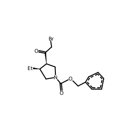 CC[C@@H]1CN(C(=O)OCc2ccccc2)C[C@@H]1C(=O)CBr